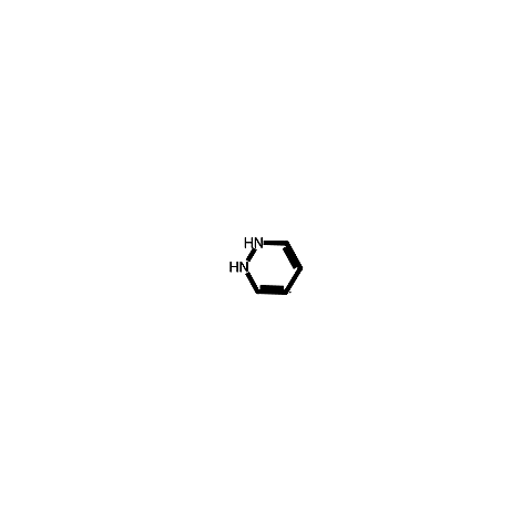 [C]1=CNNC=C1